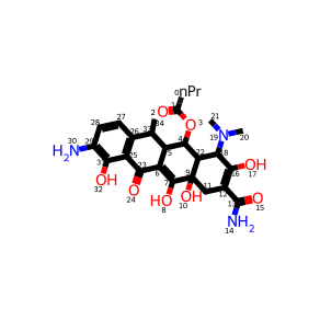 CCCC(=O)OC1C2C(=C(O)C3(O)CC(C(N)=O)=C(O)C(N(C)C)C13)C(=O)c1c(ccc(N)c1O)C2C